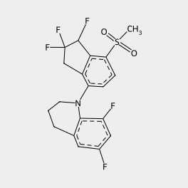 CS(=O)(=O)c1ccc(N2CCCc3cc(F)cc(F)c32)c2c1C(F)C(F)(F)C2